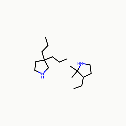 CCC1CCNC1(C)C.CCCC1(CCC)CCNC1